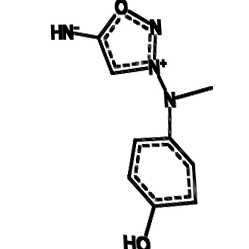 CN(c1ccc(O)cc1)[n+]1cc([NH-])on1